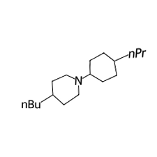 CCCCC1CCN(C2CCC(CCC)CC2)CC1